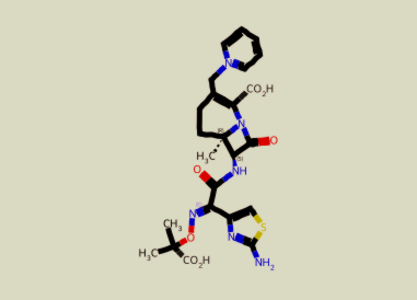 CC(C)(O/N=C(/C(=O)N[C@@H]1C(=O)N2C(C(=O)O)=C(C[n+]3ccccc3)CC[C@]12C)c1csc(N)n1)C(=O)O